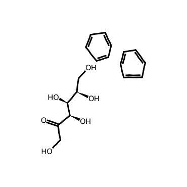 O=C(CO)[C@H](O)[C@@H](O)[C@H](O)CO.c1ccccc1.c1ccccc1